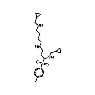 Cc1ccc(S(=O)(=O)C(CCNCCCCNCC2CC2)NCC2CC2)cc1